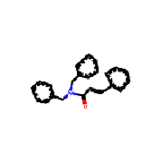 O=C(C=Cc1ccccc1)N(Cc1ccccc1)Cc1ccccc1